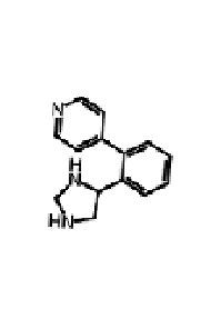 c1ccc(C2CNCN2)c(-c2ccncc2)c1